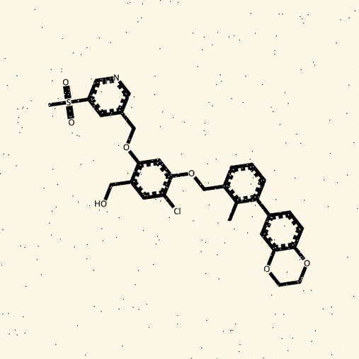 Cc1c(COc2cc(OCc3cncc(S(C)(=O)=O)c3)c(CO)cc2Cl)cccc1-c1ccc2c(c1)OCCO2